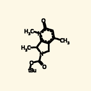 Cc1cc(=O)n(C)c2c1CN(C(=O)OC(C)(C)C)C2C